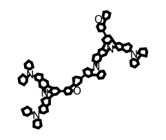 c1ccc(N(c2ccccc2)c2ccc3cc4c5cc(-c6ccc7oc8cc(-c9ccc%10c(c9)c9ccccc9n%10-c9ccc%10cc%11c%12cc(-c%13ccc%14oc%15ccccc%15c%14c%13)cc%13c%14cc%15ccc(-n%16c%17ccccc%17c%17ccccc%17%16)cc%15cc%14n(c%11cc%10c9)c%13%12)ccc8c7c6)cc6c7cc8ccc(N(c9ccccc9)c9ccccc9)cc8cc7n(c4cc3c2)c56)cc1